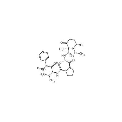 CON1C(=O)CCC(=O)[C@]1(C)C(=O)N[C@@H](C)C(=O)N1CCC[C@H]1C(=O)N[C@H](C(=O)N([N+]=O)c1ccccc1)C(C)C